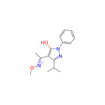 CO/N=C(\C)c1c(C(C)C)nn(-c2ccccc2)c1O